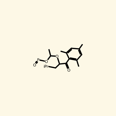 Cc1cc(C)c(C(=O)C(CC(C)C)OC(C)OP=O)c(C)c1